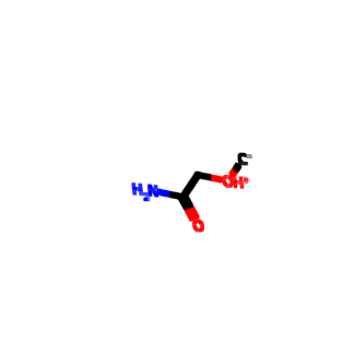 [CH2-][OH+]CC(N)=O